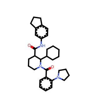 O=C(Nc1ccc2c(c1)CCC2)C1CCCN(C(=O)c2ccccc2N2CCCC2)C1C1CCCCC1